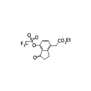 CCOC(=O)Cc1ccc(OS(=O)(=O)C(F)(F)F)c2c1CCC2=O